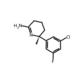 C[C@]1(c2cc(F)cc(Cl)c2)CCCC(N)=N1